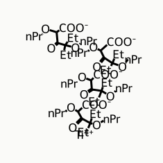 CCCOC(C(=O)[O-])C(=O)C(CC)(CC)OCCC.CCCOC(C(=O)[O-])C(=O)C(CC)(CC)OCCC.CCCOC(C(=O)[O-])C(=O)C(CC)(CC)OCCC.CCCOC(C(=O)[O-])C(=O)C(CC)(CC)OCCC.[Ti+4]